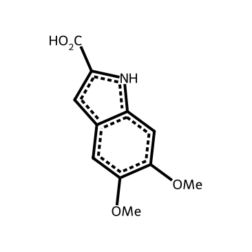 COc1cc2cc(C(=O)O)[nH]c2cc1OC